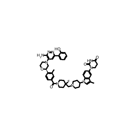 Cc1cc(C(=O)N2CCC(F)(CN3CCC(n4cc(C)c5cc(N6CCC(=O)NC6=O)ccc54)CC3)CC2)ccc1[C@@H]1CN(c2cc(-c3ccccc3O)nnc2N)CCO1